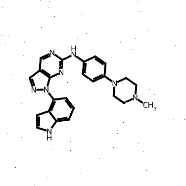 CN1CCN(c2ccc(Nc3ncc4cnn(-c5cccc6[nH]ccc56)c4n3)cc2)CC1